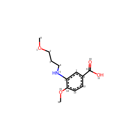 COCCCNc1cc(C(=O)O)ccc1OC